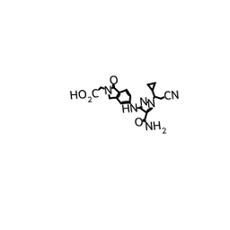 N#CCC(C1CC1)n1cc(C(N)=O)c(Nc2ccc3c(c2)CN(CC(=O)O)C3=O)n1